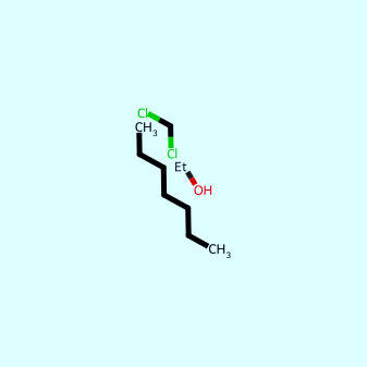 CCCCCCC.CCO.ClCCl